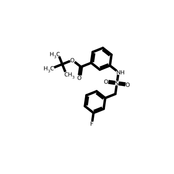 CC(C)(C)OC(=O)c1cccc(NS(=O)(=O)Cc2cccc(F)c2)c1